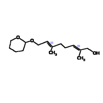 C/C(=C\CC/C(C)=C/COC1CCCCO1)CO